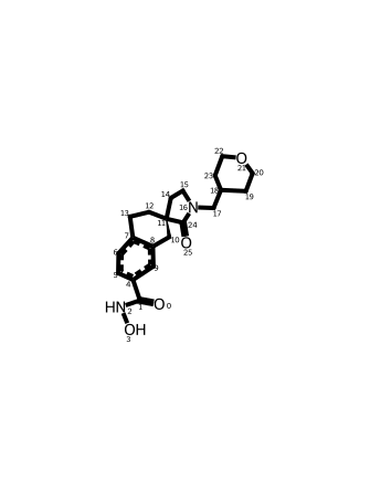 O=C(NO)c1ccc2c(c1)C[C@@]1(CC2)CCN(CC2CCOCC2)C1=O